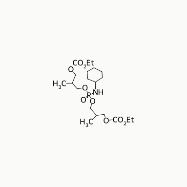 CCOC(=O)OCC(C)COP(=O)(NC1CCCCC1)OCC(C)COC(=O)OCC